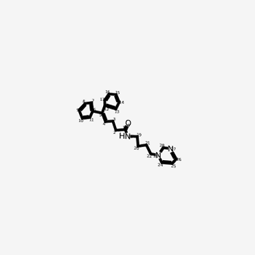 O=C(CCC=C(c1ccccc1)c1ccccc1)NCCCCN1C=CC=NC1